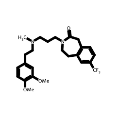 COc1ccc(CCN(C)CCCN2CCc3cc(C(F)(F)F)ccc3CC2=O)cc1OC